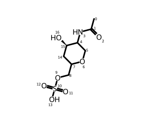 CC(=O)NC1COC(COS(=O)(=O)O)C[C@H]1O